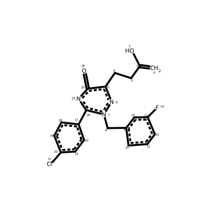 C=C(O)CCc1nn(Cc2cccc(F)c2)c(-c2ccc(Cl)cc2)nc1=O